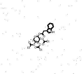 CCC(=O)O[C@@H]1[C@@H](OC(=O)CC)[C@H](C)O[C@@H](OC(=O)Cc2c[nH]c3ccccc23)[C@@H]1OC(=O)CC